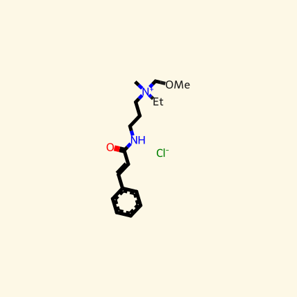 CC[N+](C)(CCCNC(=O)C=Cc1ccccc1)COC.[Cl-]